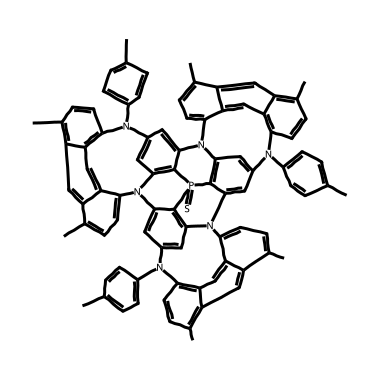 Cc1ccc(N2c3cc4c5c(c3)N3c6cc(cc7c6P5(=S)c5c6cc(cc5N4c4ccc(C)c5cc8c(C)ccc2c8cc45)N(c2ccc(C)cc2)c2ccc(C)c4cc5c(C)ccc(c5cc24)N67)N(c2ccc(C)cc2)c2ccc(C)c4cc5c(C)ccc3c5cc24)cc1